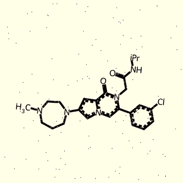 CC(C)NC(=O)Cn1c(-c2cccc(Cl)c2)cn2cc(N3CCCN(C)CC3)cc2c1=O